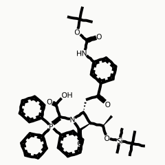 C[C@@H](O[Si](C)(C)C(C)(C)C)[C@H]1C(=O)N(C(C(=O)O)=P(c2ccccc2)(c2ccccc2)c2ccccc2)[C@@H]1CC(=O)c1cccc(NC(=O)OC(C)(C)C)c1